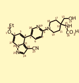 CCOc1cc(-c2ccc(N3CCC(CO)(NC(=O)O)CC3)nc2)c2c(C#N)cnn2c1